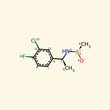 C[C@H](N[S@@+](C)[O-])c1ccc(F)c(Cl)c1